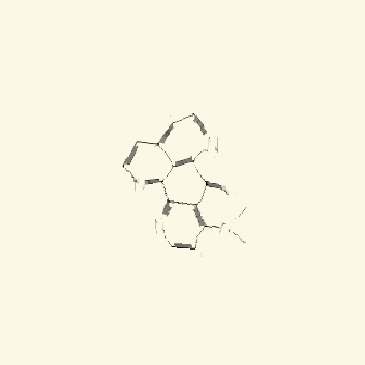 CN(C)c1ccnc2c1C(=O)c1nccc3ccnc-2c13